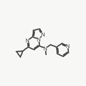 CN(Cc1cccnc1)c1cc(C2CC2)nc2ccnn12